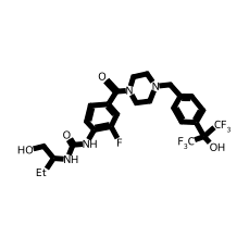 CCC(CO)NC(=O)Nc1ccc(C(=O)N2CCN(Cc3ccc(C(O)(C(F)(F)F)C(F)(F)F)cc3)CC2)cc1F